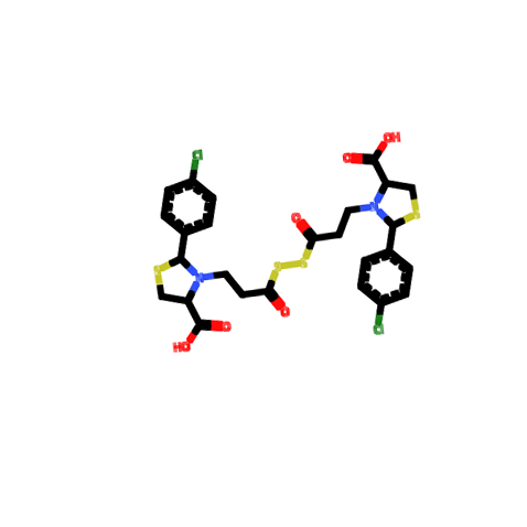 O=C(CCN1C(C(=O)O)CSC1c1ccc(Cl)cc1)SSC(=O)CCN1C(C(=O)O)CSC1c1ccc(Cl)cc1